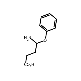 NC(CCC(=O)O)Oc1ccccc1